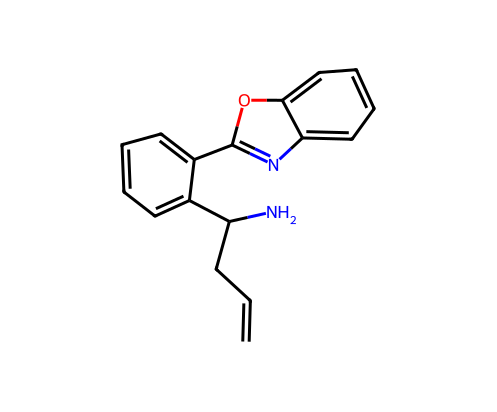 C=CCC(N)c1ccccc1-c1nc2ccccc2o1